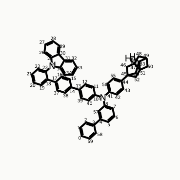 c1ccc(-c2cccc(N(c3ccc(-c4ccc(-c5ccccc5-n5c6ccccc6c6ccccc65)cc4)cc3)c3ccc(C45C[C@@H]6CC7CC6(C4)[C@@H]7C5)cc3)c2)cc1